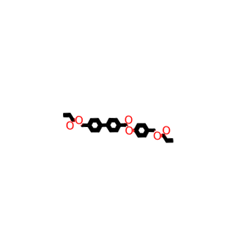 C=CC(=O)OCc1ccc(OC(=O)c2ccc(-c3ccc(COC(=O)C=C)cc3)cc2)cc1